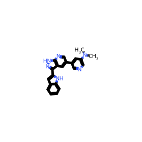 CN(C)c1cncc(-c2cnc3[nH]nc(-c4cc5ccccc5[nH]4)c3c2)c1